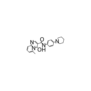 Cc1cccc2ncc(C(=O)Nc3ccc(N4CCCCC4)cc3)c(=O)n12